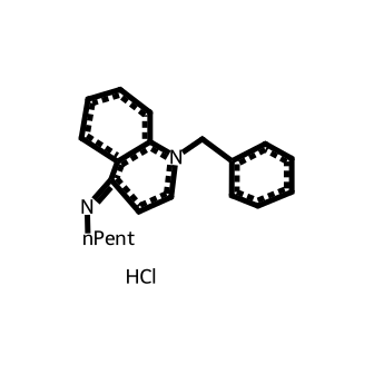 CCCCCN=c1ccn(Cc2ccccc2)c2ccccc12.Cl